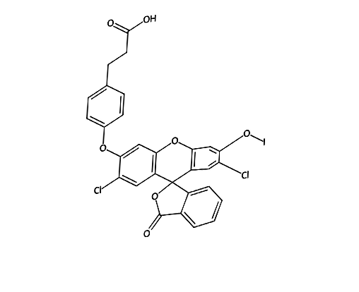 O=C(O)CCc1ccc(Oc2cc3c(cc2Cl)C2(OC(=O)c4ccccc42)c2cc(Cl)c(OI)cc2O3)cc1